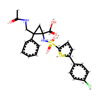 CC(=O)NCC1(c2ccccc2)CC1(NS(=O)(=O)c1ccc(-c2ccc(Cl)cc2)s1)C(=O)O